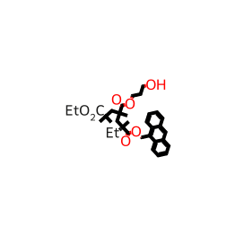 CCOC(=O)C(C)(C)CC(C)(CC(C)(CC)C(=O)OCc1c2ccccc2cc2ccccc12)C(=O)OCCCO